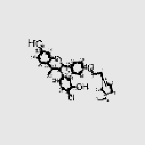 CC[C@@H]1CCN(CCOc2ccc(C3Oc4cc(O)ccc4C(C)=C3c3ccc(Cl)c(O)c3)cc2)C1